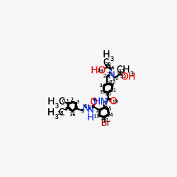 Cc1ccc(/C=N/NC(=O)c2cc(Br)ccc2NC(=O)c2ccc(CN(CC(C)O)CC(C)O)cc2)cc1C